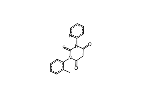 Cc1ccccc1N1C(=O)CC(=O)N(c2ccccn2)C1=S